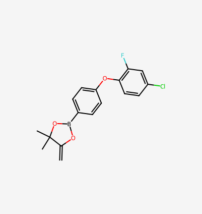 C=C1OB(c2ccc(Oc3ccc(Cl)cc3F)cc2)OC1(C)C